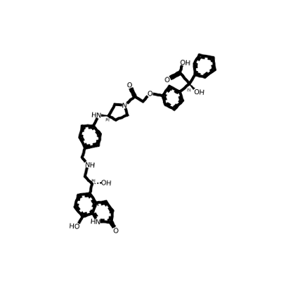 O=C(COc1cccc([C@](O)(C(=O)O)c2ccccc2)c1)N1CC[C@@H](Nc2ccc(CNC[C@H](O)c3ccc(O)c4[nH]c(=O)ccc34)cc2)C1